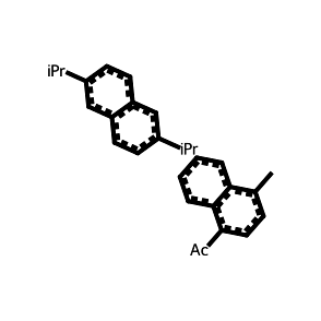 CC(=O)c1ccc(C)c2ccccc12.CC(C)c1ccc2cc(C(C)C)ccc2c1